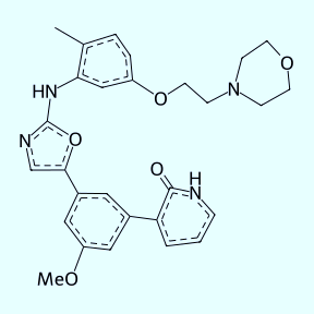 COc1cc(-c2cnc(Nc3cc(OCCN4CCOCC4)ccc3C)o2)cc(-c2ccc[nH]c2=O)c1